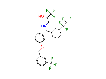 OC(CNC(c1cccc(OCc2cccc(C(F)(F)F)c2)c1)C1CCCC(C(F)(F)C(F)(F)F)C1)C(F)(F)F